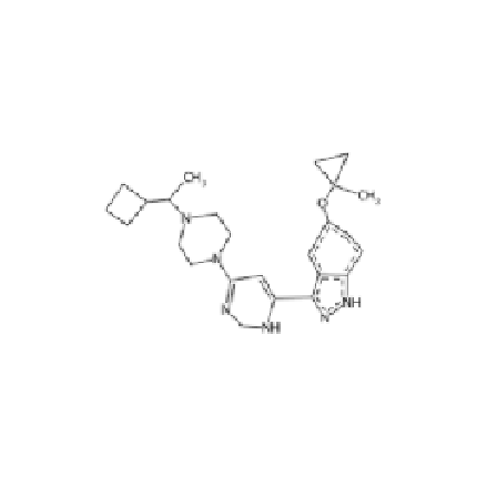 CC(C1CCC1)N1CCN(C2=NCNC(c3n[nH]c4ccc(OC5(C)CC5)cc34)=C2)CC1